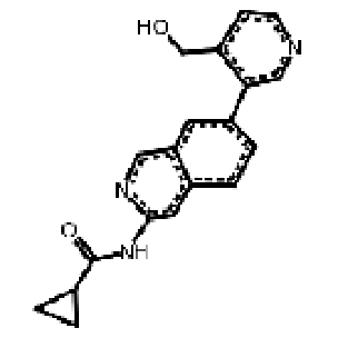 O=C(Nc1cc2ccc(-c3cnccc3CO)cc2cn1)C1CC1